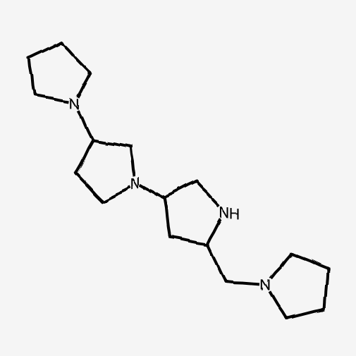 C1CCN(CC2CC(N3CCC(N4CCCC4)C3)CN2)C1